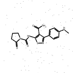 CNc1ccc(-c2nsc(NC(=O)N3CCCC3=O)c2C(N)=O)cc1